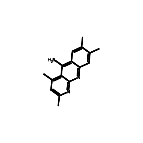 Cc1cc(C)c2c(N)c3cc(C)c(C)cc3nc2n1